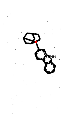 c1ccc2c(c1)[nH]c1cc(N3C4CC5CC(C4)CC3C5)ccc12